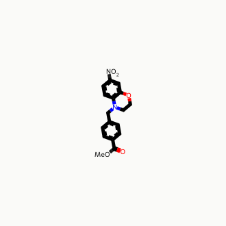 COC(=O)c1ccc(CN2CCOc3cc([N+](=O)[O-])ccc32)cc1